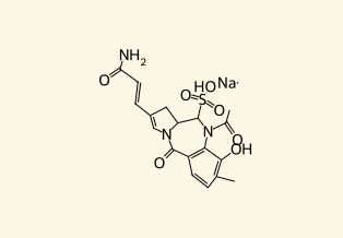 CC(=O)N1c2c(ccc(C)c2O)C(=O)N2C=C(C=CC(N)=O)CC2C1S(=O)(=O)O.[Na]